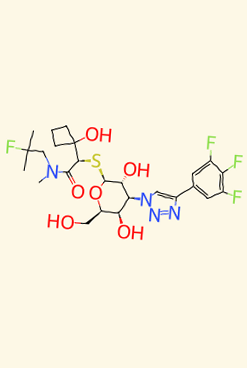 CN(CC(C)(C)F)C(=O)[C@H](S[C@@H]1O[C@H](CO)[C@H](O)[C@H](n2cc(-c3cc(F)c(F)c(F)c3)nn2)[C@H]1O)C1(O)CCC1